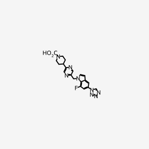 O=C(O)N1CCC(c2cnc(Cn3ccc4cc(-n5cnnn5)cc(F)c43)cn2)CC1